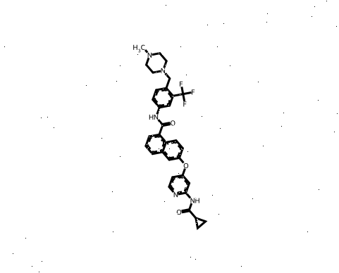 CN1CCN(Cc2ccc(NC(=O)c3cccc4cc(Oc5ccnc(NC(=O)C6CC6)c5)ccc34)cc2C(F)(F)F)CC1